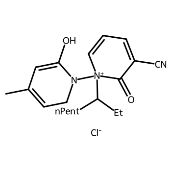 CCCCCC(CC)[N+]1(N2CC=C(C)C=C2O)C=CC=C(C#N)C1=O.[Cl-]